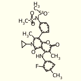 Cc1ccc(Nc2c(C)c(=O)oc3c(-c4cccc(N([S+](C)[O-])S(C)(=O)=O)c4)c(C)n(C4CC4)c(=O)c23)c(F)c1